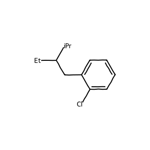 CCC(Cc1ccccc1Cl)C(C)C